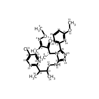 C=C(/C(C)=N\OC)[C@@H](C)n1c(NSC(C)C(C)c2ncc(Cl)cn2)nnc1-c1cccc(OC)n1